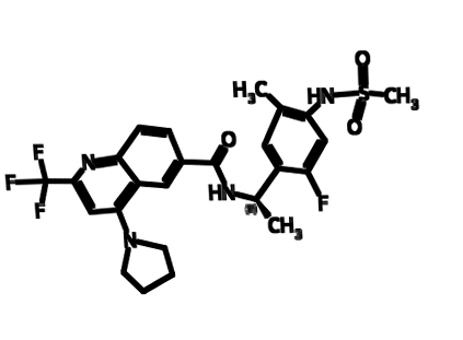 Cc1cc([C@@H](C)NC(=O)c2ccc3nc(C(F)(F)F)cc(N4CCCC4)c3c2)c(F)cc1NS(C)(=O)=O